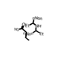 CCCC(=O)O.CCCCCCCCCC(CC)NC(CC)CCCCCCCCC